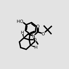 COC1(c2cccc(O)c2)[C@@H]2CCC[C@H]1CN(C(=O)OC(C)(C)C)C2